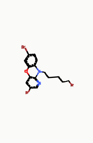 BrCCCCCN1c2ccc(Br)cc2Oc2cc(Br)cnc21